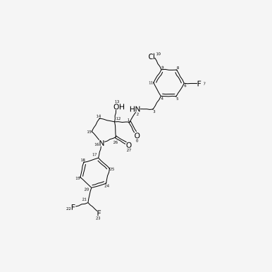 O=C(NCc1cc(F)cc(Cl)c1)C1(O)CCN(c2ccc(C(F)F)cc2)C1=O